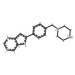 [c]1ncnc2cc(-c3ccc(CN4CCNCC4)cc3)sc12